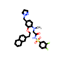 CN(CC(=O)NS(=O)(=O)c1ccc(F)c(F)c1)c1ccc(Cn2cccn2)cc1OCCc1ccc2ccccc2c1